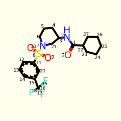 O=C(NC1CCCN(S(=O)(=O)c2cccc(C(F)(F)F)c2)C1)C1CCCCC1